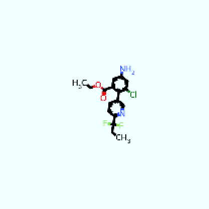 CCOC(=O)c1cc(N)cc(Cl)c1-c1ccc(C(F)(F)CC)nc1